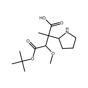 COC(C(=O)OC(C)(C)C)C(C)(C(=O)O)C1CCCN1